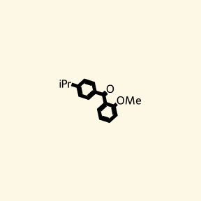 COc1ccccc1C(=O)c1ccc(C(C)C)cc1